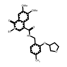 CCn1cc(C(=O)NCc2ccc(C)cc2OC2CCOC2)c2cc(OC)c(OC)cc2c1=O